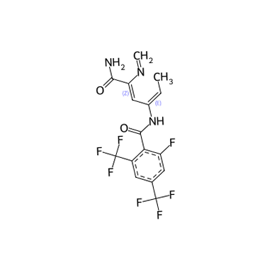 C=N/C(=C\C(=C/C)NC(=O)c1c(F)cc(C(F)(F)F)cc1C(F)(F)F)C(N)=O